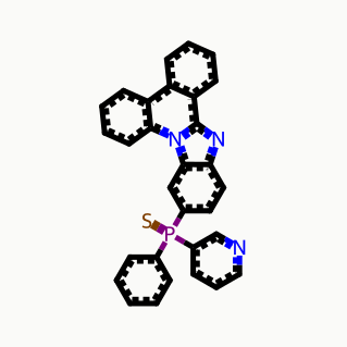 S=P(c1ccccc1)(c1cccnc1)c1ccc2nc3c4ccccc4c4ccccc4n3c2c1